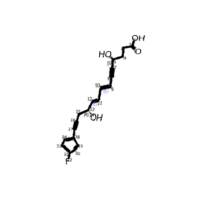 O=C(O)CC[C@H](O)C#C/C=C/C=C/[C@H](O)CC#Cc1ccc(F)cc1